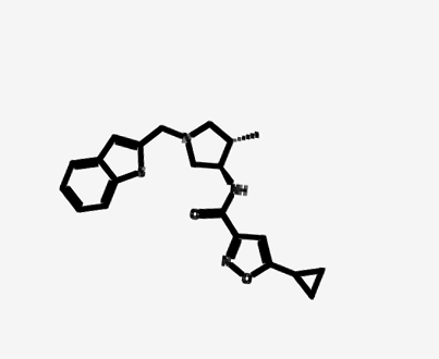 C[C@H]1CN(Cc2cc3ccccc3s2)C[C@@H]1NC(=O)c1cc(C2CC2)on1